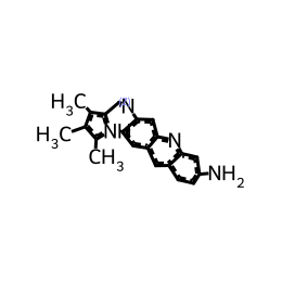 Cc1[nH]c(/C=N\c2ccc3cc4ccc(N)cc4nc3c2)c(C)c1C